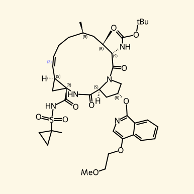 COCCOc1cnc(O[C@@H]2C[C@H]3C(=O)N[C@]4(C(=O)NS(=O)(=O)C5(C)CC5)C[C@H]4/C=C\CC[C@@H](C)C[C@@H](C)[C@H](NC(=O)OC(C)(C)C)C(=O)N3C2)c2ccccc12